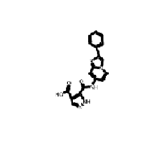 O=C(O)c1cn[nH]c1C(=O)Nc1ccn2cc(-c3ccccc3)nc2c1